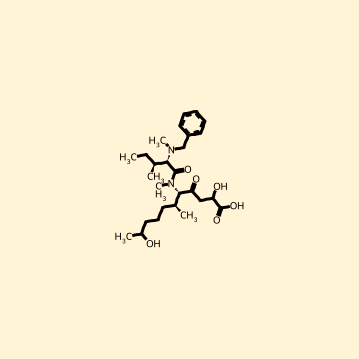 CC[C@H](C)[C@@H](C(=O)N(C)[C@H](C(=O)CC(O)C(=O)O)[C@@H](C)CCCC(C)O)N(C)Cc1ccccc1